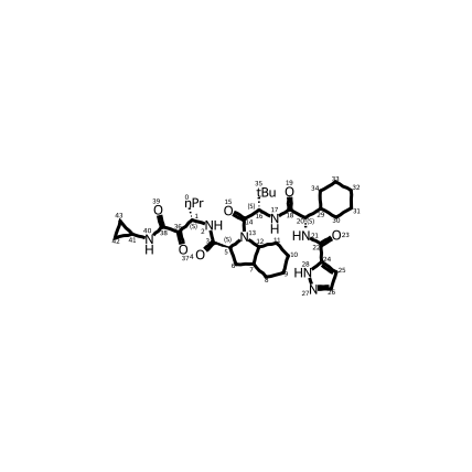 CCC[C@H](NC(=O)[C@@H]1CC2CCCCC2N1C(=O)[C@@H](NC(=O)[C@@H](NC(=O)c1ccn[nH]1)C1CCCCC1)C(C)(C)C)C(=O)C(=O)NC1CC1